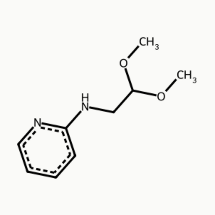 COC(CNc1ccccn1)OC